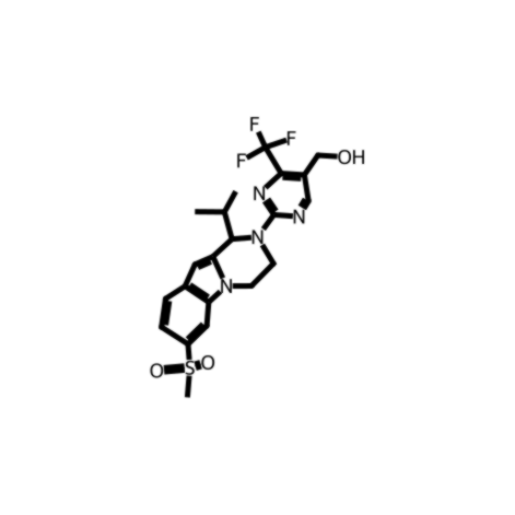 CC(C)C1c2cc3ccc(S(C)(=O)=O)cc3n2CCN1c1ncc(CO)c(C(F)(F)F)n1